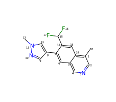 Cc1cncc2cc(-c3cnn(C)c3)c(C(F)F)cc12